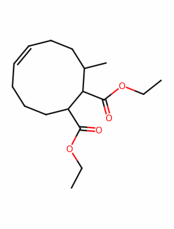 CCOC(=O)C1CCC/C=C\CCC(C)C1C(=O)OCC